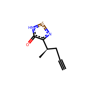 C#CC[C@@H](C)c1ns[nH]c1=O